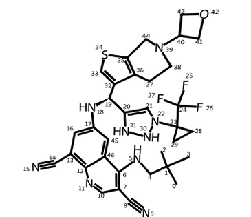 CC(C)(C)CNc1c(C#N)cnc2c(C#N)cc(N[C@H](C3=CN(C4(C(F)(F)F)CC4)NN3)c3csc4c3CCN(C3COC3)C4)cc12